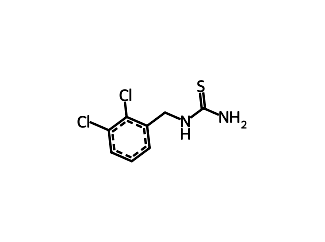 NC(=S)NCc1cccc(Cl)c1Cl